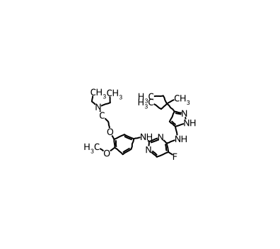 CCN(CC)CCOc1cc(Nc2ncc(F)c(Nc3cc(C(C)(CC)CC)n[nH]3)n2)ccc1OC